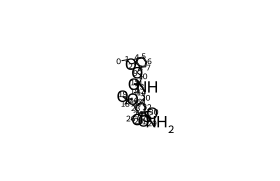 CCOc1ccccc1OCC(=O)N[C@H](COC(C)=O)Cc1ccc(OC)c(S(N)(=O)=O)c1